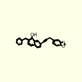 Oc1c(Cc2ccccc2)ccc2ccc(C#CCc3ccc4ocnc4c3)cc12